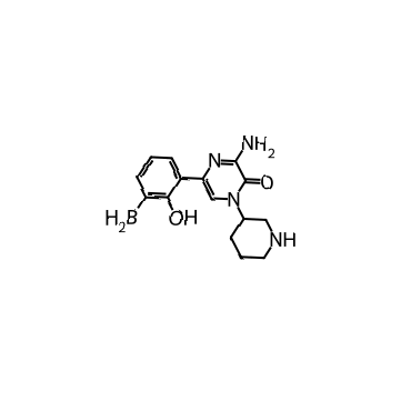 Bc1cccc(-c2cn(C3CCCNC3)c(=O)c(N)n2)c1O